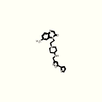 Cc1ccc2ncc(=O)n(CCN3CCC(NCc4cc(-c5cccs5)on4)CC3)c2c1